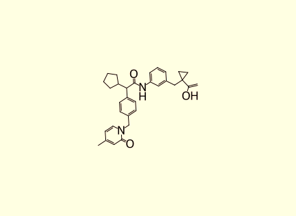 C=C(O)C1(Cc2cccc(NC(=O)C(c3ccc(Cn4ccc(C)cc4=O)cc3)C3CCCC3)c2)CC1